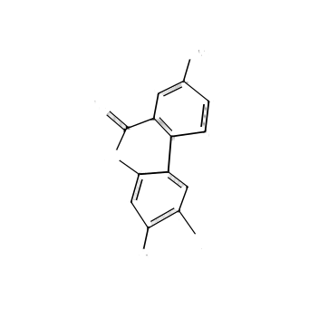 COc1ccc2c(c1)c(=O)oc1cc(O)c(F)cc12